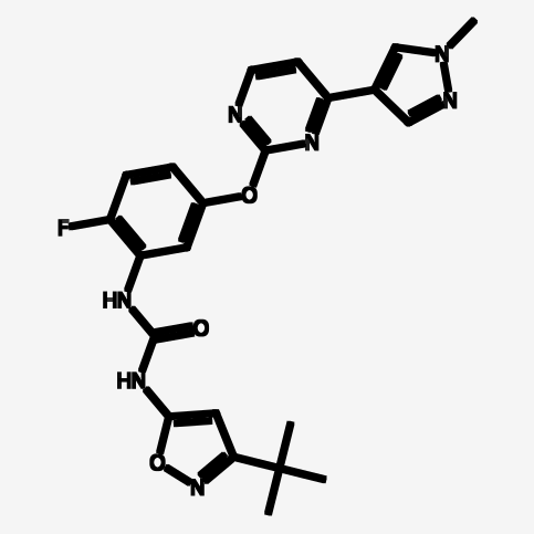 Cn1cc(-c2ccnc(Oc3ccc(F)c(NC(=O)Nc4cc(C(C)(C)C)no4)c3)n2)cn1